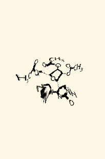 CC(=O)OC[C@H]1O[C@@H](c2c[nH]c(=O)nc2-n2cncn2)[C@@H](OC(C)=O)[C@@H]1OC(C)=O